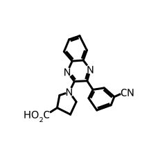 N#Cc1cccc(-c2nc3ccccc3nc2N2CCC(C(=O)O)C2)c1